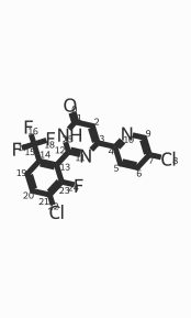 O=c1cc(-c2ccc(Cl)cn2)nc(-c2c(C(F)(F)F)ccc(Cl)c2F)[nH]1